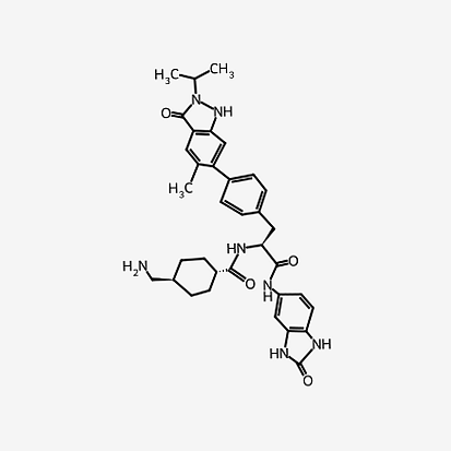 Cc1cc2c(=O)n(C(C)C)[nH]c2cc1-c1ccc(C[C@H](NC(=O)[C@H]2CC[C@H](CN)CC2)C(=O)Nc2ccc3[nH]c(=O)[nH]c3c2)cc1